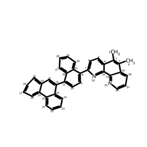 Cc1c(C)c2ccc(-c3ccc(-c4cc5ccccc5c5ccccc45)c4ccccc34)nc2c2ncccc12